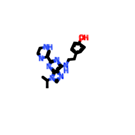 CC(C)n1cnc2c(NCCc3ccc(O)cc3)nc(C3=CNCC=N3)nc21